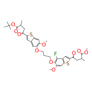 COC(=O)C(C)CC(=O)c1cc2c(F)c(OCCCOc3cc4cc(C(=O)CC(C)C(=O)OC(C)(C)C)sc4cc3OC)c(OC)cc2s1